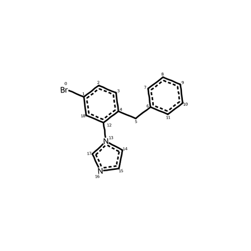 Brc1ccc(Cc2ccccc2)c(-n2ccnc2)c1